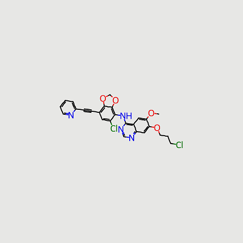 COc1cc2c(Nc3c(Cl)cc(C#Cc4ccccn4)c4c3OCO4)ncnc2cc1OCCCCl